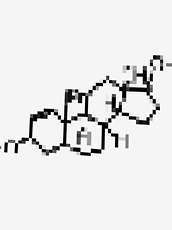 CC(C)[C@]12C=CC(O)CC1CC[C@@H]1[C@@H]2CC[C@]2(C)C(O)CC[C@@H]12